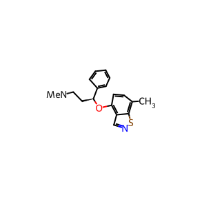 CNCC[C@H](Oc1ccc(C)c2sncc12)c1ccccc1